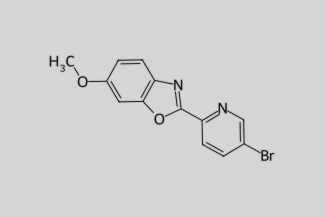 COc1ccc2nc(-c3ccc(Br)cn3)oc2c1